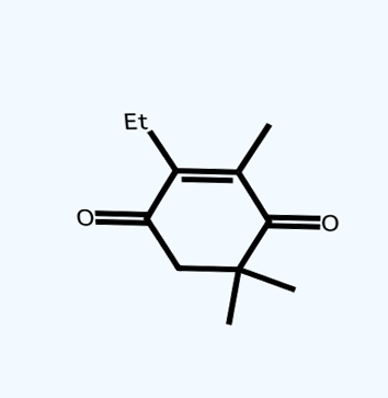 CCC1=C(C)C(=O)C(C)(C)CC1=O